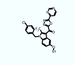 CCOc1ccc2c(c1)c(C(=O)c1nnc(-c3ccncn3)o1)c(C(F)(F)F)n2Cc1ccc(Cl)cc1